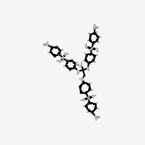 CC(COc1ccc(S(=O)(=O)c2ccc(O)cc2)cc1)(Oc1ccc(S(=O)(=O)c2ccc(O)cc2)cc1)Oc1ccc(S(=O)(=O)c2ccc(O)cc2)cc1